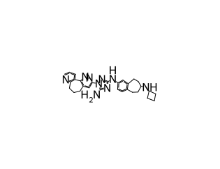 Nc1nc(Nc2ccc3c(c2)CC[C@@H](NC2CCC2)CC3)nn1-c1cc2c(nn1)-c1cccnc1CCC2